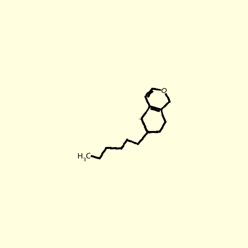 CCCCCCC1[CH]C2=C(CC1)COC=C2